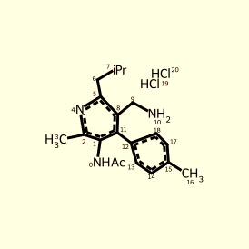 CC(=O)Nc1c(C)nc(CC(C)C)c(CN)c1-c1ccc(C)cc1.Cl.Cl